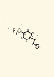 [O]CCN1CCC(C(F)(F)F)CC1